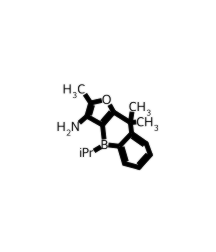 Cc1oc2c(c1N)B(C(C)C)c1ccccc1C2(C)C